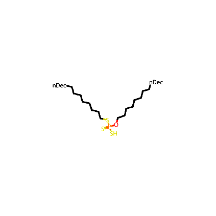 CCCCCCCCCCCCCCCCCCOP(=S)(S)SCCCCCCCCCCCCCCCCCC